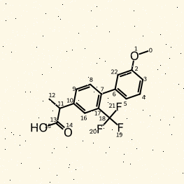 COc1cccc(-c2ccc(C(C)C(=O)O)cc2C(F)(F)F)c1